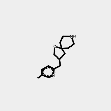 Cc1ccc(CC2COC3(CCNCC3)C2)nc1